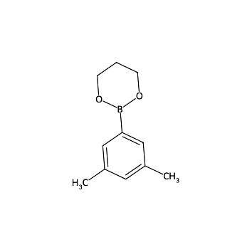 Cc1cc(C)cc(B2OCCCO2)c1